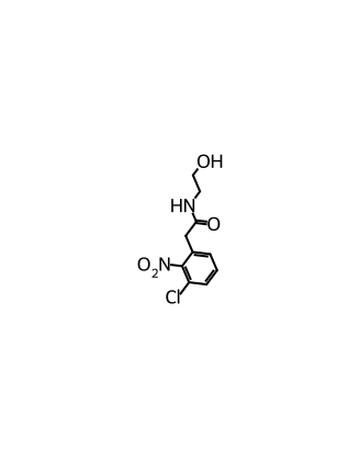 O=C(Cc1cccc(Cl)c1[N+](=O)[O-])NCCO